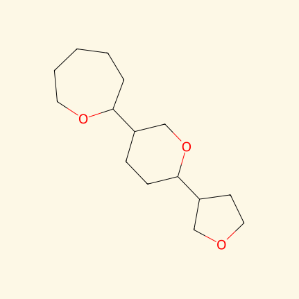 C1CCOC(C2CCC(C3CCOC3)OC2)CC1